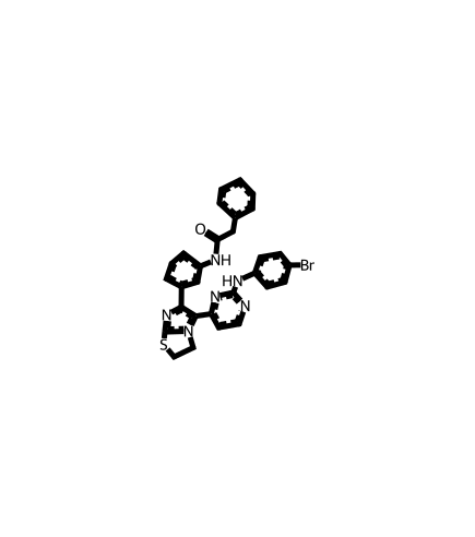 O=C(Cc1ccccc1)Nc1cccc(-c2nc3n(c2-c2ccnc(Nc4ccc(Br)cc4)n2)CCS3)c1